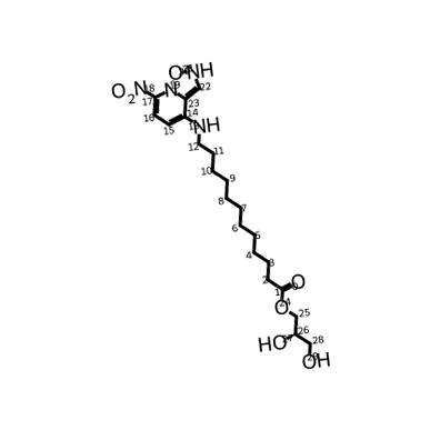 O=C(CCCCCCCCCCCNC1=CC=C([N+](=O)[O-])N2ONC=C12)OC[C@H](O)CO